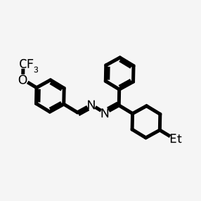 CCC1CCC(C(=NN=Cc2ccc(OC(F)(F)F)cc2)c2ccccc2)CC1